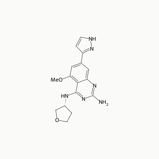 COc1cc(-c2cc[nH]n2)cc2nc(N)nc(N[C@@H]3CCOC3)c12